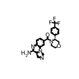 Nc1nc2ccc(C(=O)N3CCOC[C@@H]3c3ccc(C(F)(F)F)cc3)cc2n2cncc12